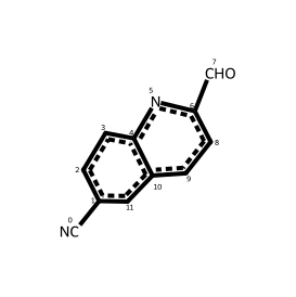 N#Cc1ccc2nc(C=O)ccc2c1